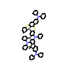 CC1(C)c2cc(N(c3ccccc3)c3ccccc3)ccc2-c2cc3c4c(c21)N(c1ccccc1)c1ccccc1B4c1cc2c(cc1N3c1ccccc1)Sc1c3c(cc4cc(N(c5ccccc5)c5ccccc5)ccc14)Sc1ccccc1B23